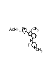 CC(=O)NCc1nc(-c2cc3c(/N=C4\CCN(C)C[C@@H]4F)cccc3n2CC(F)(F)F)no1